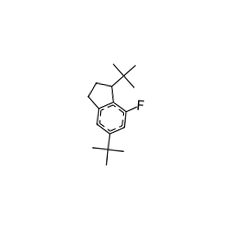 CC(C)(C)c1cc(F)c2c(c1)CCC2C(C)(C)C